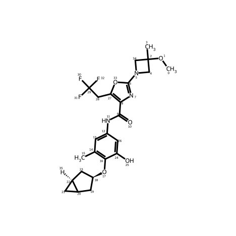 COC1(C)CN(c2nc(C(=O)Nc3cc(C)c(O[C@H]4CC5C[C@H]5C4)c(O)c3)c(CC(F)(F)F)o2)C1